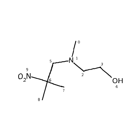 CN(CCO)CC(C)(C)[N+](=O)[O-]